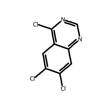 Clc1cc2ncnc(Cl)c2cc1Cl